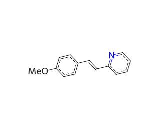 COc1ccc(C=Cc2ccccn2)cc1